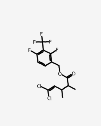 CC(C=C(Cl)Cl)C(C)C(=O)OCc1ccc(F)c(C(F)(F)F)c1F